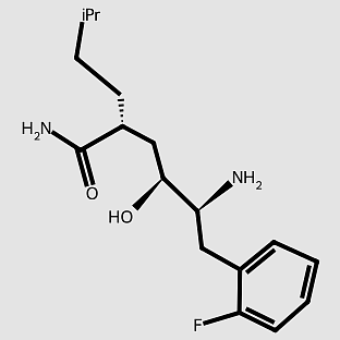 CC(C)CC[C@H](C[C@H](O)[C@@H](N)Cc1ccccc1F)C(N)=O